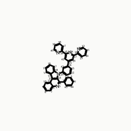 c1ccc(-c2nc3ccccc3c3c4ccccc4n(-c4cccc(-c5cc(-c6ccccn6)nc(-c6ccccn6)c5)c4)c23)cc1